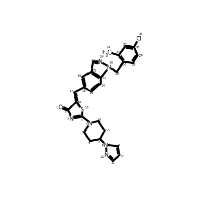 O=C1N=C(N2CCC(n3cccn3)CC2)S/C1=C\c1ccc2c(cnn2Cc2ccc(Cl)cc2C(F)(F)F)c1